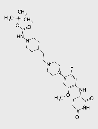 COc1cc(N2CCN(CCC3CCN(NC(=O)OC(C)(C)C)CC3)CC2)c(F)cc1NC1CCC(=O)NC1=O